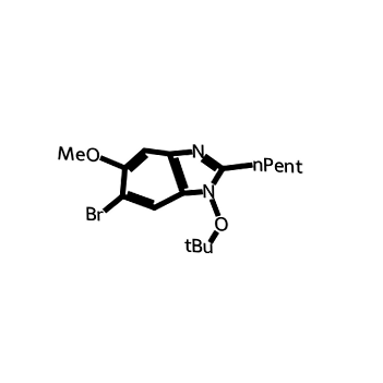 CCCCCc1nc2cc(OC)c(Br)cc2n1OC(C)(C)C